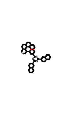 c1cc(-c2nc(-c3ccc4ccccc4c3)nc(-c3ccc4ccccc4c3)n2)cc(-c2cncc3ccc4ccc5ccccc5c4c23)c1